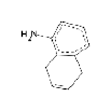 Nc1cccc2c1CC=CC2